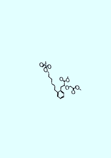 COC(=O)COC(Cc1ccccc1CCCCCCOS(C)(=O)=O)C(=O)OC